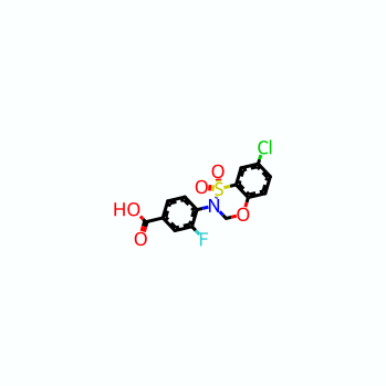 O=C(O)c1ccc(N2COc3ccc(Cl)cc3S2(=O)=O)c(F)c1